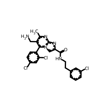 Cc1nc2nc(C(=O)NCCc3cccc(Cl)c3)cn2c(-c2ccc(Cl)cc2Cl)c1CN